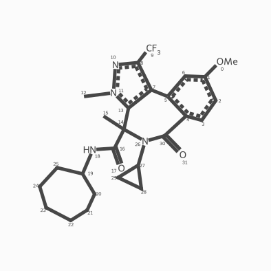 COc1ccc2c(c1)-c1c(C(F)(F)F)nn(C)c1C(C)(C(=O)NC1CCCCCC1)N(C1CC1)C2=O